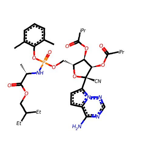 CCC(CC)COC(=O)[C@H](C)NP(=O)(OC[C@H]1O[C@@](C#N)(c2ccc3c(N)ncnn23)[C@H](OC(=O)C(C)C)[C@@H]1OC(=O)C(C)C)Oc1c(C)cccc1C